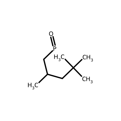 CC(CP=O)CC(C)(C)C